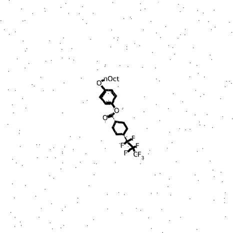 CCCCCCCCOc1ccc(OC(=O)[C@H]2CC[C@H](C(F)(F)C(F)(F)C(F)(F)F)CC2)cc1